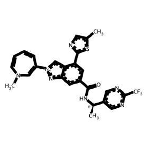 Cc1cnc(-c2cc(C(=O)N[C@H](C)c3cnc(C(F)(F)F)nc3)cc3nn(C4=CN(C)C=CC=C4)cc23)s1